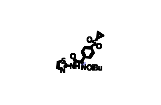 CC(C)CO/N=C(/C(=O)Nc1nccs1)c1ccc(S(=O)(=O)C2CC2)cc1